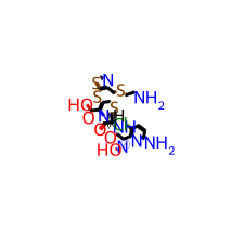 NCCSCc1ncsc1SC1=C(C(=O)O)N2C(=O)[C@@H](NC(=O)/C(=N\O)c3nc(N)ccc3Cl)[C@@H]2SC1